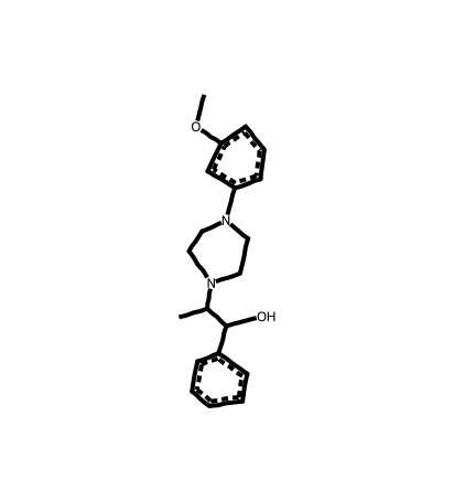 COc1cccc(N2CCN(C(C)C(O)c3ccccc3)CC2)c1